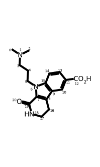 CN(C)CCCn1c2c(c3cc(C(=O)O)ccc31)CCNC2=O